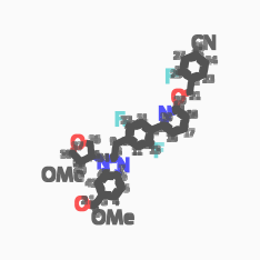 COC(=O)c1ccc2nc(Cc3cc(F)c(-c4cccc(OCc5ccc(C#N)cc5F)n4)cc3F)n([C@@H]3COC[C@@H]3OC)c2c1